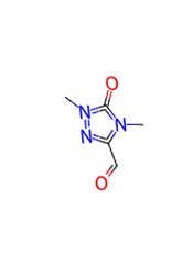 Cn1nc(C=O)n(C)c1=O